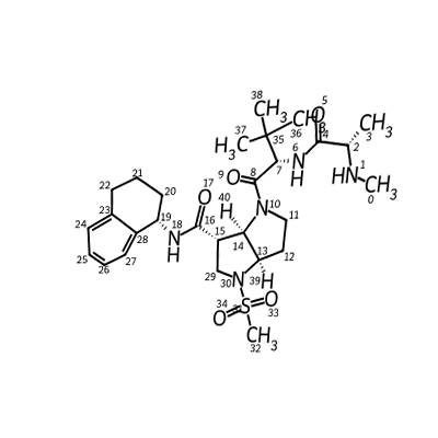 CN[C@@H](C)C(=O)N[C@H](C(=O)N1CC[C@@H]2[C@H]1[C@@H](C(=O)N[C@H]1CCCc3ccccc31)CN2S(C)(=O)=O)C(C)(C)C